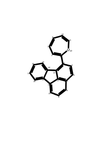 C1=CC=C(c2ccc3cccc4c3c2-c2ccccc2-4)OC=C1